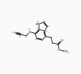 COC(=O)CCc1ccc(OCC#N)c2[nH]ccc12